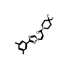 Cc1cc(C)cc(-c2ncn(/C=C\C(=O)N3CCC(F)(F)CC3)n2)c1